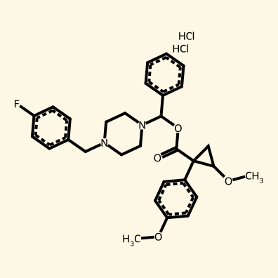 COc1ccc(C2(C(=O)OC(c3ccccc3)N3CCN(Cc4ccc(F)cc4)CC3)CC2OC)cc1.Cl.Cl